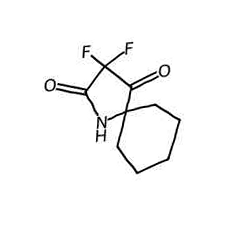 O=C1NC2(CCCCC2)C(=O)C1(F)F